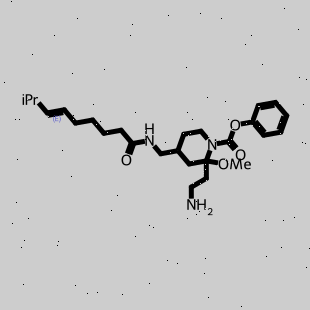 COC1(CCN)CC(CNC(=O)CCCC/C=C/C(C)C)CCN1C(=O)Oc1ccccc1